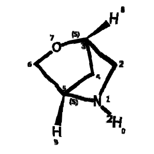 [2H]N1C[C@@H]2C[C@H]1CO2